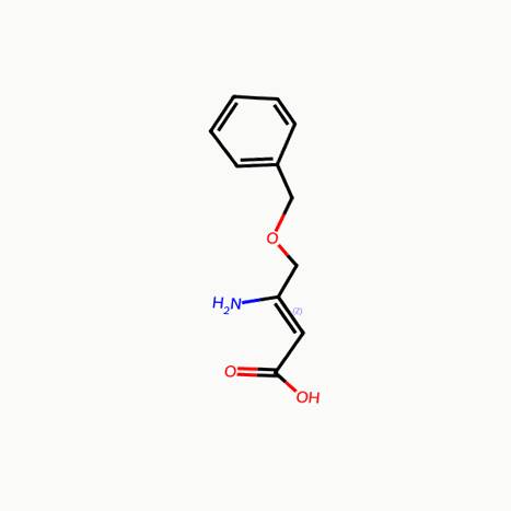 N/C(=C\C(=O)O)COCc1ccccc1